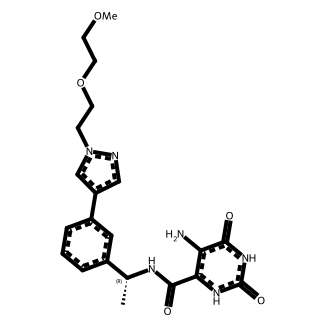 COCCOCCn1cc(-c2cccc([C@@H](C)NC(=O)c3[nH]c(=O)[nH]c(=O)c3N)c2)cn1